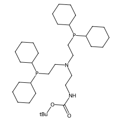 CC(C)(C)OC(=O)NCCN(CCP(C1CCCCC1)C1CCCCC1)CCP(C1CCCCC1)C1CCCCC1